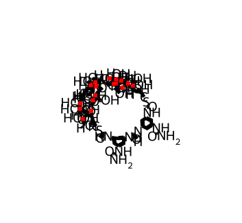 NC(=O)Nc1cc2cc(c1)NC(=O)SC[C@H]1O[C@@H]3O[C@H]4C(O)C(O)[C@H](O[C@@H]4CO)O[C@H]4C(O)C(O)[C@H](O[C@@H]4CO)O[C@H]4C(O)C(O)[C@H](O[C@@H]4CSC(=O)Nc4cc(NC(N)=O)cc(c4)NC(=O)N2)O[C@H]2C(O)C(O)[C@H](O[C@@H]2CO)O[C@H]2C(O)C(O)[C@H](O[C@@H]2CO)O[C@H]2C(O)C(O)[C@H](O[C@@H]2CO)O[C@H]1C(O)C3O